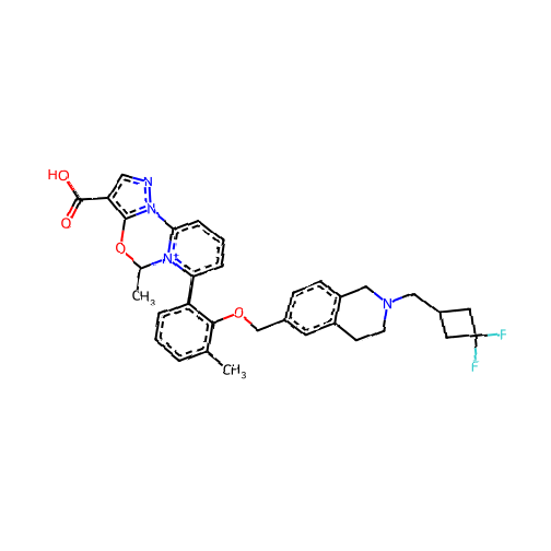 Cc1cccc(-c2cccc3[n+]2C(C)Oc2c(C(=O)O)cnn2-3)c1OCc1ccc2c(c1)CCN(CC1CC(F)(F)C1)C2